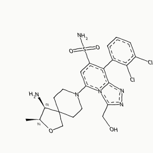 C[C@@H]1OCC2(CCN(c3cc(S(N)(=O)=O)c(-c4cccc(Cl)c4Cl)c4nnc(CO)n34)CC2)[C@@H]1N